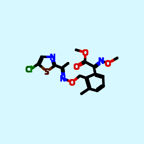 CO/N=C(/C(=O)OC)c1cccc(C)c1CO/N=C(\C)c1ncc(Cl)s1